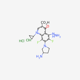 Cl.Cl.NNc1c(F)c(N2CCC(N)C2)c(F)c2c1c(=O)c(C(=O)O)cn2C1CC1